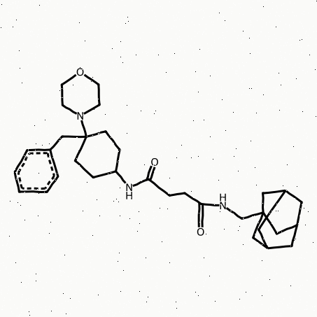 O=C(CCC(=O)NC1CCC(Cc2ccccc2)(N2CCOCC2)CC1)NCC12CC3CC(CC(C3)C1)C2